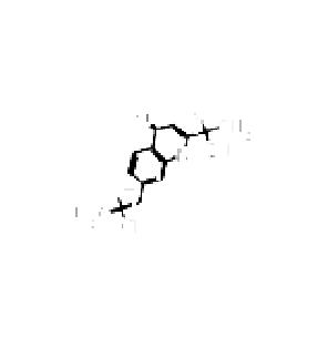 CC(C)(C)Cc1ccc2c(=O)cc(C(C)(C)C)[nH]c2c1